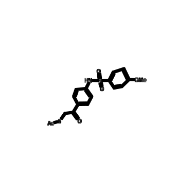 COc1ccc(S(=O)(=O)Nc2ccc(C(=O)CSC(C)=O)cc2)cc1